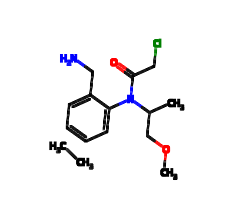 CC.COCC(C)N(C(=O)CCl)c1ccccc1CN